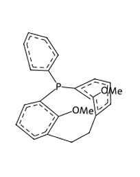 COc1c2cccc1P(c1ccccc1)c1cccc(c1OC)CC2